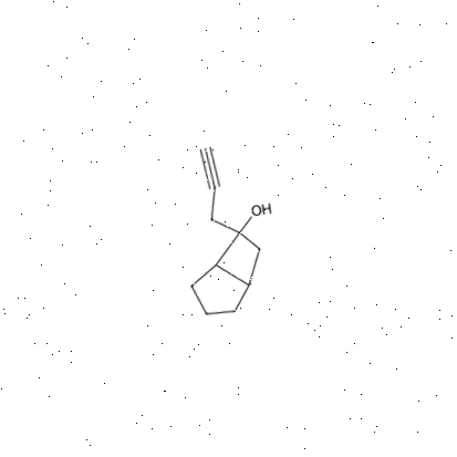 C#CCC1(O)CC2CCCC21